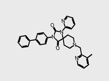 Cc1cccnc1CN1CCC2(CC1)C(=O)N(c1ccc(-c3ccccc3)cc1)C(=O)N2c1ccccn1